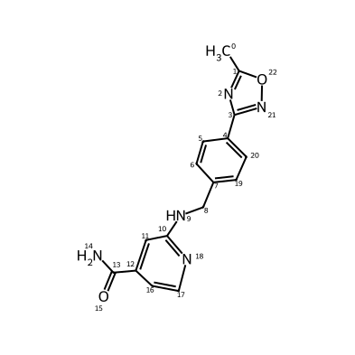 Cc1nc(-c2ccc(CNc3cc(C(N)=O)ccn3)cc2)no1